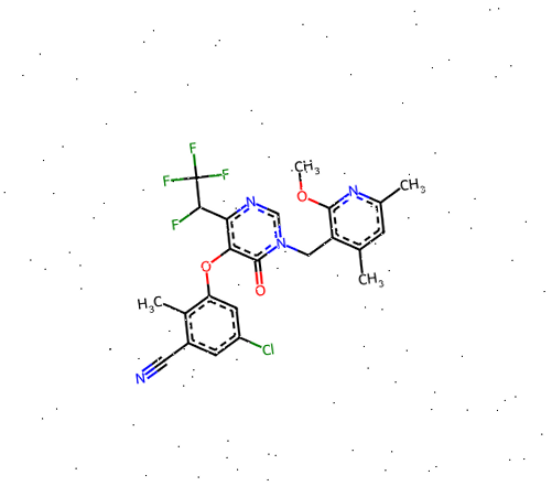 COc1nc(C)cc(C)c1Cn1cnc(C(F)C(F)(F)F)c(Oc2cc(Cl)cc(C#N)c2C)c1=O